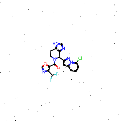 O=C(c1ocnc1C(F)F)N1CCc2[nH]cnc2C1c1cc2cccc(Cl)n2n1